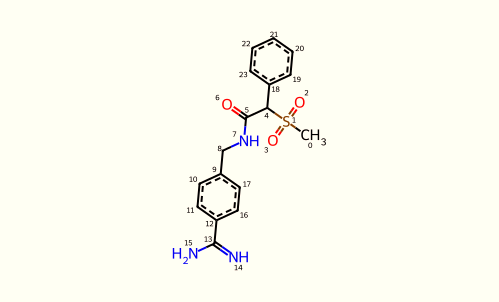 CS(=O)(=O)C(C(=O)NCc1ccc(C(=N)N)cc1)c1ccccc1